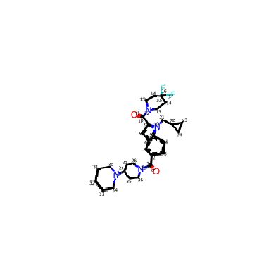 O=C(c1ccc2c(c1)cc(C(=O)N1CCC(F)(F)CC1)n2CC1CC1)N1CCC(N2CCCCC2)CC1